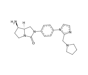 N[C@@H]1CCN2C(=O)N(c3ccc(-n4ccnc4CN4CCCC4)cc3)C[C@H]12